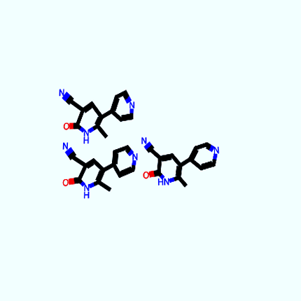 Cc1[nH]c(=O)c(C#N)cc1-c1ccncc1.Cc1[nH]c(=O)c(C#N)cc1-c1ccncc1.Cc1[nH]c(=O)c(C#N)cc1-c1ccncc1